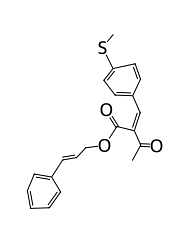 CSc1ccc(C=C(C(C)=O)C(=O)OC/C=C/c2ccccc2)cc1